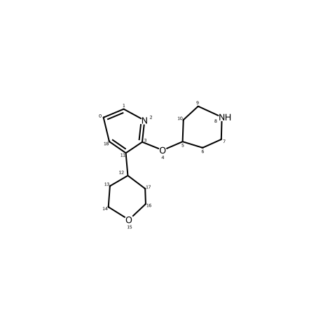 c1cnc(OC2CCNCC2)c(C2CCOCC2)c1